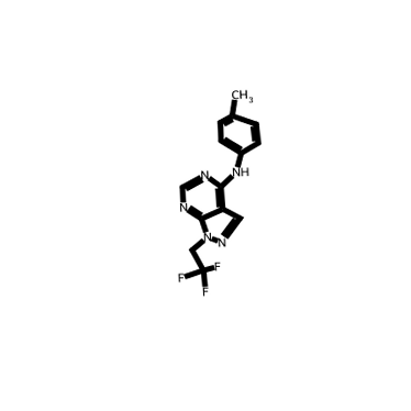 Cc1ccc(Nc2ncnc3c2cnn3CC(F)(F)F)cc1